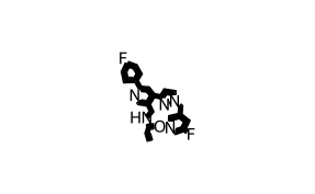 C=CC(=O)NCc1cnc(-c2ccc(F)cc2)cc1-c1ccn(Cc2cncc(F)c2)n1